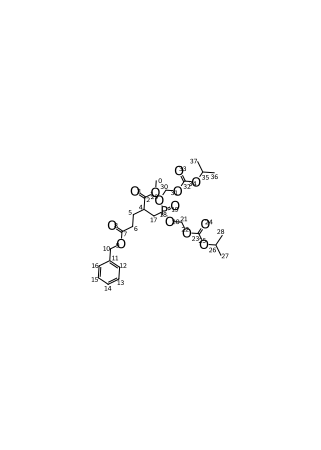 COC(=O)C(CCC(=O)OCc1ccccc1)CP(=O)(OCOC(=O)OC(C)C)OCOC(=O)OC(C)C